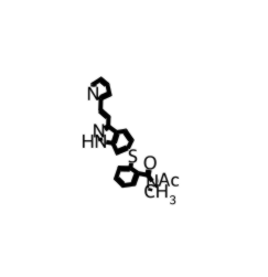 CC(=O)N(C)C(=O)c1ccccc1Sc1ccc2c(/C=C/c3ccccn3)n[nH]c2c1